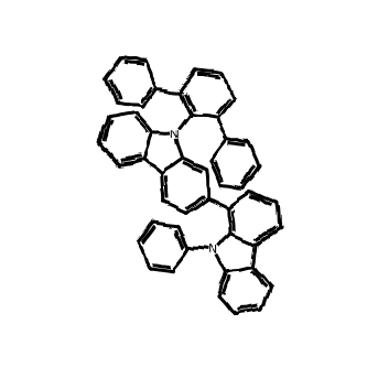 c1ccc(-c2cccc(-c3ccccc3)c2-n2c3ccccc3c3ccc(-c4cccc5c6ccccc6n(-c6ccccc6)c45)cc32)cc1